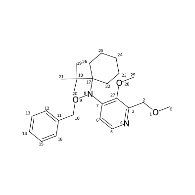 COCc1nccc(N(OCc2ccccc2)C2(C(C)(C)C)CCCCC2)c1OC